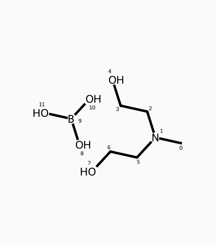 CN(CCO)CCO.OB(O)O